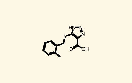 Cc1ccccc1CSc1[nH]nnc1C(=O)O